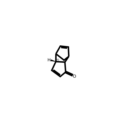 O=C1C=C[C@@H]2C3C=CC(C3)C12